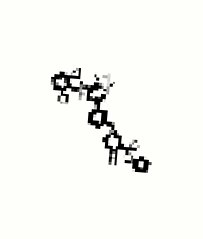 Nc1ncc(-c2cccc(CN3CCNC(C(=O)OC4CCCC4)C3)c2)nc1NCc1c(Cl)cccc1Cl